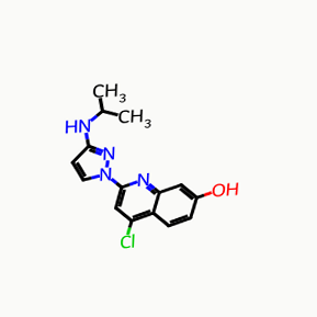 CC(C)Nc1ccn(-c2cc(Cl)c3ccc(O)cc3n2)n1